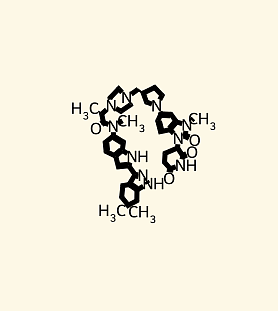 C[C@@H](C(=O)N(C)c1ccc2cc(-c3n[nH]c4c3CCC(C)(C)C4)[nH]c2c1)N1CCN(C[C@H]2CCN(c3ccc4c(c3)n(C)c(=O)n4C3CCC(=O)NC3=O)C2)CC1